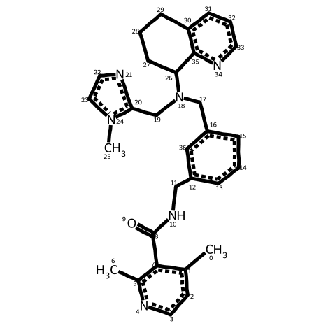 Cc1ccnc(C)c1C(=O)NCc1cccc(CN(Cc2nccn2C)C2CCCc3cccnc32)c1